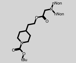 CCCCCCCCCN(CCCCCCCCC)CC(=O)OCCC1CCN(C(=O)OC(C)(C)C)CC1